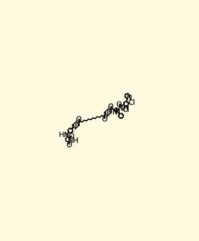 O=C1CCC(Nc2ccc(N3CCN(C(=O)CCCCCCCCCCC(=O)N4CCN(C(=O)c5cc(NC(=O)c6cc(-c7ccccn7)c(Cl)cc6Cl)n(-c6ccccc6)n5)CC4)CC3)cc2)C(=O)N1